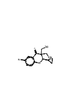 O=C1c2cc(Br)ccc2OC(C2CC2)C1(CO)CO